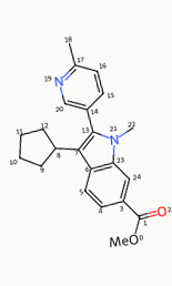 COC(=O)c1ccc2c(C3CCCC3)c(-c3ccc(C)nc3)n(C)c2c1